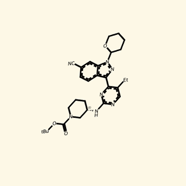 CCc1cnc(N[C@H]2CCCN(C(=O)OC(C)(C)C)C2)nc1-c1nn(C2CCCCO2)c2cc(C#N)ccc12